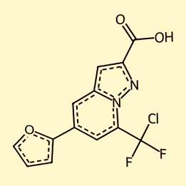 O=C(O)c1cc2cc(-c3ccco3)cc(C(F)(F)Cl)n2n1